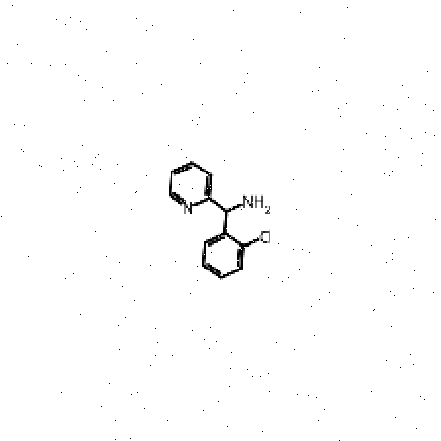 NC(c1ccccn1)c1ccccc1Cl